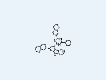 c1ccc(-c2nc(-c3ccc4ccccc4c3)nc(-c3cc(-c4ccc5ccccc5c4)cc4oc5ccncc5c34)n2)cc1